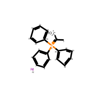 CCOC(=O)C(C)=P(c1ccccc1)(c1ccccc1)c1ccccc1.I